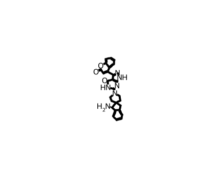 N[C@@H]1c2ccccc2CC12CCN(c1nc3[nH]nc(-c4cc(=O)oc5ccccc45)c3c(=O)[nH]1)CC2